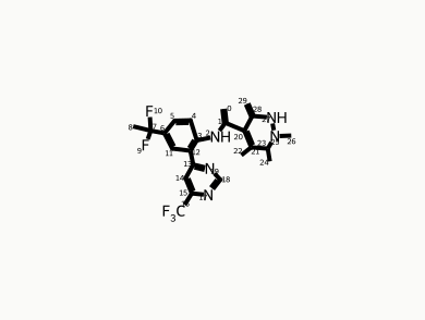 C=C(Nc1ccc(C(C)(F)F)cc1-c1cc(C(F)(F)F)ncn1)C1=C(C)C(C)N(C)NC1=C